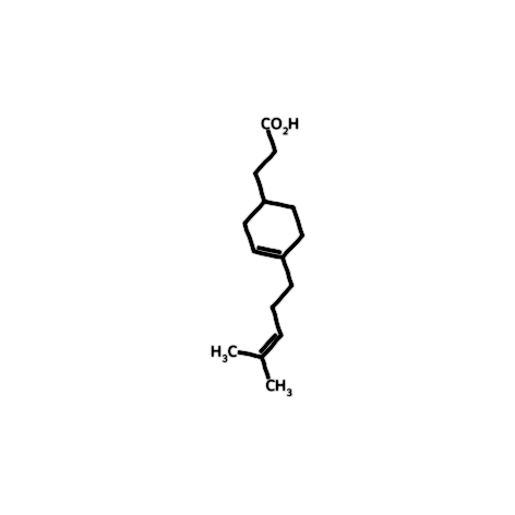 CC(C)=CCCC1=CCC(CCC(=O)O)CC1